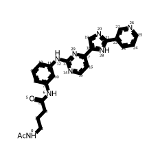 CC(=O)NCCCC(=O)Nc1cccc(Nc2nccc(-c3cnc(-c4cccnc4)[nH]3)n2)c1